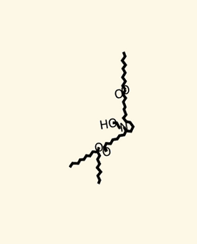 CCCCCCCCCOC(=O)CCCCCCC1CCCC(CCCCCCC(=O)OC(CCCCCCCC)CCCCCCCC)N1CCO